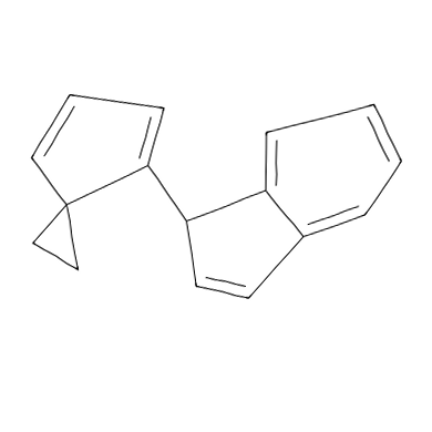 C1=CC2(CC2)C(C2C=Cc3ccccc32)=C1